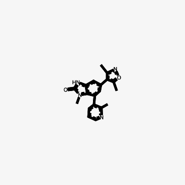 Cc1ncccc1-c1cc(-c2c(C)noc2C)cc2[nH]c(=O)n(C)c12